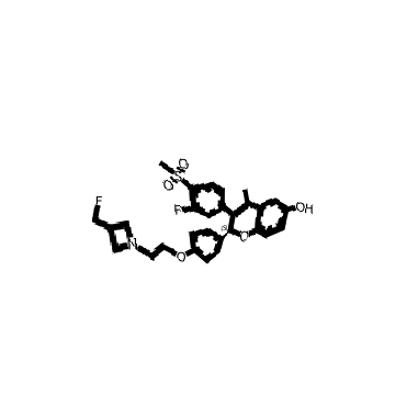 CC1=C(c2ccc(S(C)(=O)=O)c(F)c2)[C@H](c2ccc(OCCN3CC(CF)C3)cc2)Oc2ccc(O)cc21